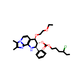 CCOCCO[C@@H]1c2ccn3c(C)c(C)nc3c2N[C@H](c2ccccc2)[C@H]1OC(=O)OCCCC(Cl)CC